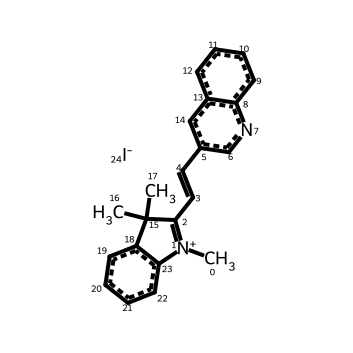 C[N+]1=C(/C=C/c2cnc3ccccc3c2)C(C)(C)c2ccccc21.[I-]